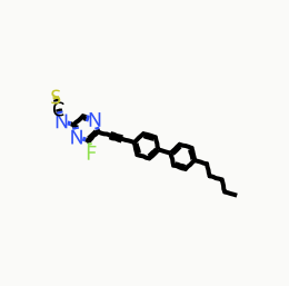 CCCCCc1ccc(-c2ccc(C#Cc3ncc(N=C=S)nc3F)cc2)cc1